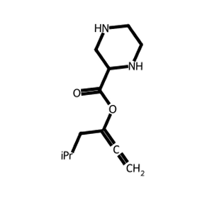 C=C=C(CC(C)C)OC(=O)C1CNCCN1